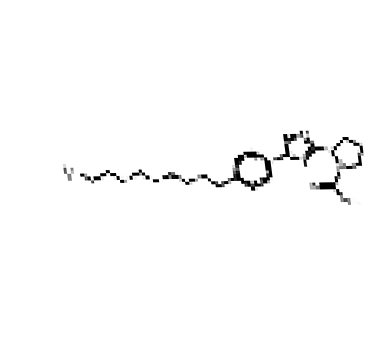 CCCCCCCCCCc1ccc(-c2noc([C@H]3CCCN3C(=N)N)n2)cc1